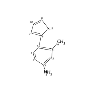 Cc1cc(N)ccc1-c1cccs1